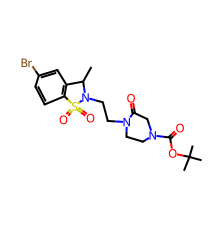 CC1c2cc(Br)ccc2S(=O)(=O)N1CCN1CCN(C(=O)OC(C)(C)C)CC1=O